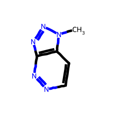 Cn1nnc2nnccc21